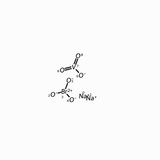 [Na+].[Na+].[O-][Br+2]([O-])[O-].[O]=[V](=[O])[O-]